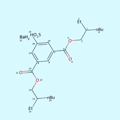 CCCCC(CC)COC(=O)c1cc(C(=O)OCC(CC)CCCC)cc(S(=O)(=O)O)c1.[BaH2]